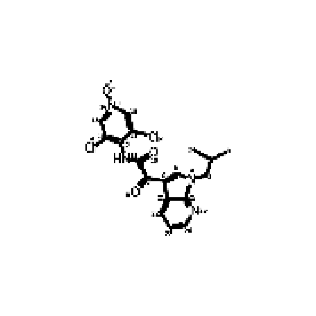 CC(C)Cn1cc(C(=O)C(=O)Nc2c(Cl)c[n+]([O-])cc2Cl)c2cccnc21